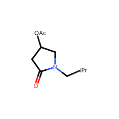 CC(=O)OC1CC(=O)N(CC(C)C)C1